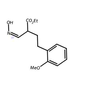 CCOC(=O)C(/C=N\O)CCc1ccccc1OC